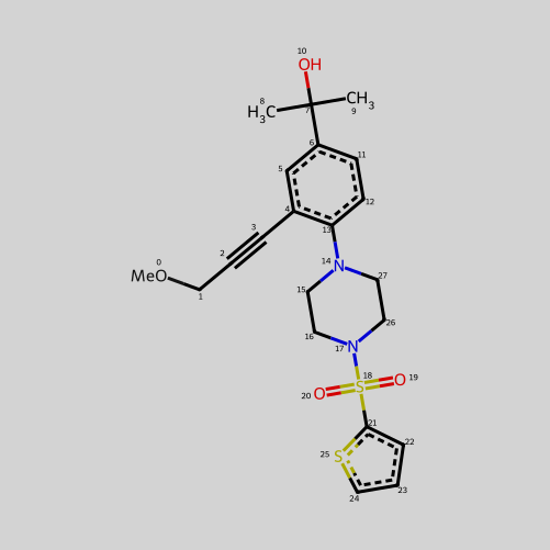 COCC#Cc1cc(C(C)(C)O)ccc1N1CCN(S(=O)(=O)c2cccs2)CC1